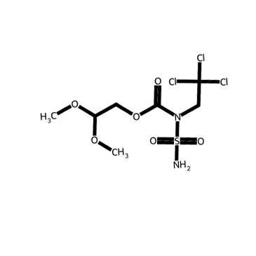 COC(COC(=O)N(CC(Cl)(Cl)Cl)S(N)(=O)=O)OC